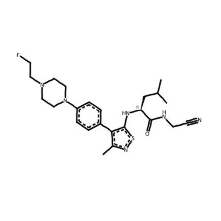 Cc1nsc(N[C@@H](CC(C)C)C(=O)NCC#N)c1-c1ccc(N2CCN(CCF)CC2)cc1